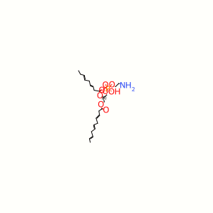 CC=CCC=CCC=CCC(=O)OC[C@H](COP(=O)(O)OCCN)OC(=O)CC=CCC=CCC